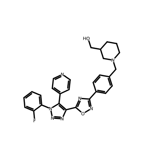 OCC1CCCN(Cc2ccc(-c3noc(-c4nnn(-c5ccccc5F)c4-c4ccncc4)n3)cc2)C1